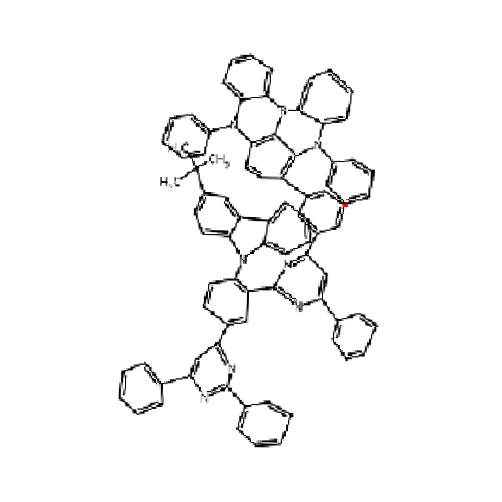 CC(C)(C)c1ccc2c(c1)c1ccccc1n2-c1ccc(-c2cc(-c3ccccc3)nc(-c3ccccc3)n2)cc1-c1nc(-c2ccccc2)cc(-c2cccc(-c3ccc4c5c3N(c3ccccc3)c3ccccc3B5c3ccccc3N4c3ccccc3)c2)n1